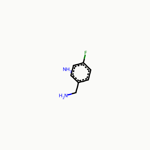 N.NCc1ccc(F)cc1